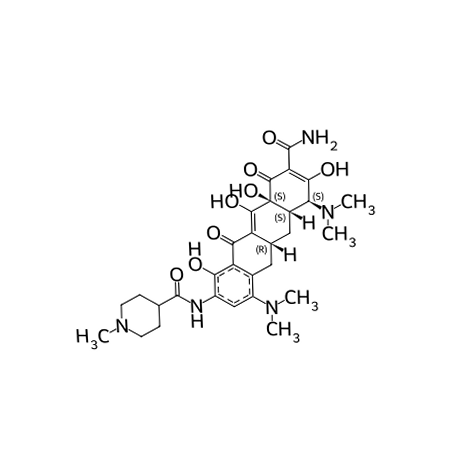 CN1CCC(C(=O)Nc2cc(N(C)C)c3c(c2O)C(=O)C2=C(O)[C@]4(O)C(=O)C(C(N)=O)=C(O)[C@@H](N(C)C)[C@@H]4C[C@@H]2C3)CC1